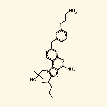 CCCC(C)c1nc2c(N)nc3cc(Cc4cccc(CCCN)c4)ccc3c2n1CC(C)(C)O